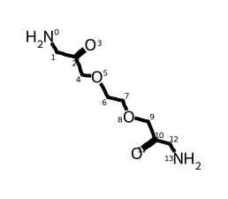 NCC(=O)COCCOCC(=O)CN